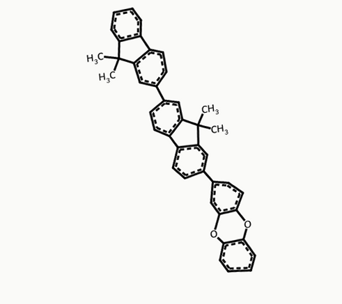 CC1(C)c2ccccc2-c2ccc(-c3ccc4c(c3)C(C)(C)c3cc(-c5ccc6c(c5)Oc5ccccc5O6)ccc3-4)cc21